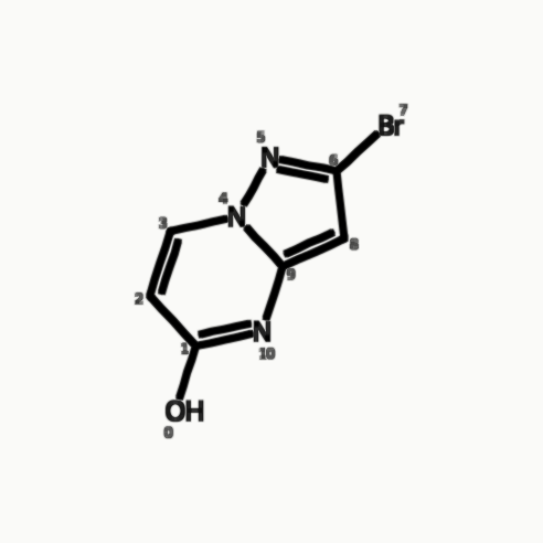 Oc1ccn2nc(Br)cc2n1